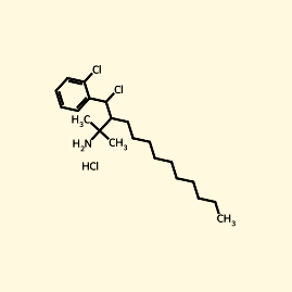 CCCCCCCCCCC(C(Cl)c1ccccc1Cl)C(C)(C)N.Cl